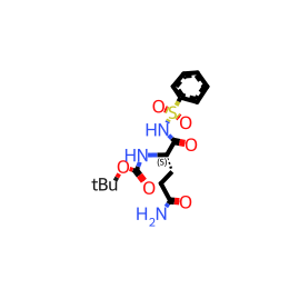 CC(C)(C)OC(=O)N[C@@H](CCC(N)=O)C(=O)NS(=O)(=O)c1ccccc1